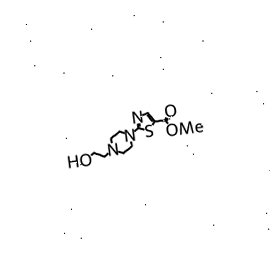 COC(=O)c1cnc(N2CCN(CCO)CC2)s1